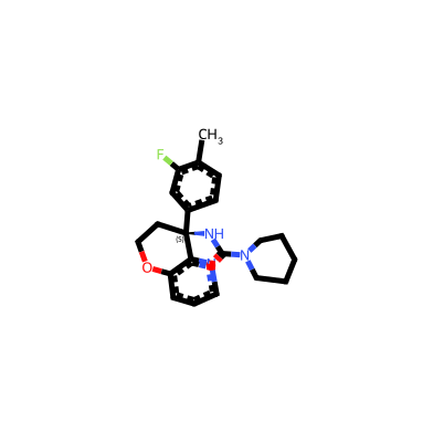 Cc1ccc([C@@]2(NC(=O)N3CCCCC3)CCOc3cccnc32)cc1F